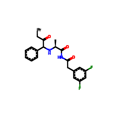 CC(C)CC(=O)C(N[C@@H](C)C(=O)NC(=O)Cc1cc(F)cc(F)c1)c1ccccc1